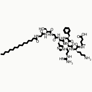 CCCCCCCCCCCCCCCC(=O)NCC(=O)N[C@@H](CO)C(=O)NCC(=O)N[C@@H](Cc1c[nH]cn1)C(=O)N[C@@H](Cc1ccccc1)C(=O)N[C@@H](CCCNC(=N)N)C(=O)N[C@@H](CCCCN)C(=O)N[C@H](C)CCC(=O)O